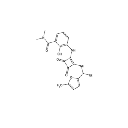 CCC(Nc1c(Nc2cccc(C(=O)N(C)C)c2O)c(=O)c1=O)c1ccc(C(F)(F)F)o1